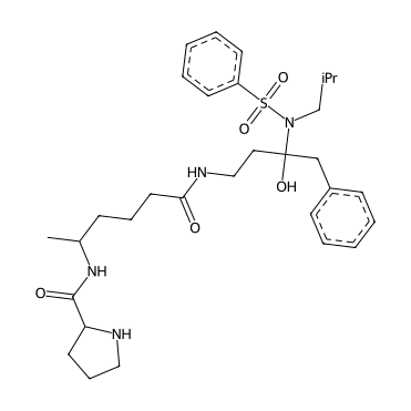 CC(C)CN(C(O)(CCNC(=O)CCCC(C)NC(=O)C1CCCN1)Cc1ccccc1)S(=O)(=O)c1ccccc1